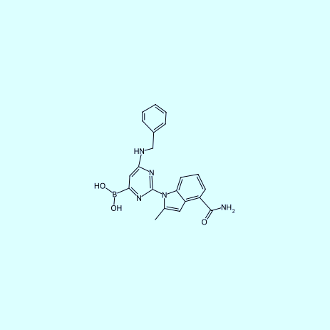 Cc1cc2c(C(N)=O)cccc2n1-c1nc(NCc2ccccc2)cc(B(O)O)n1